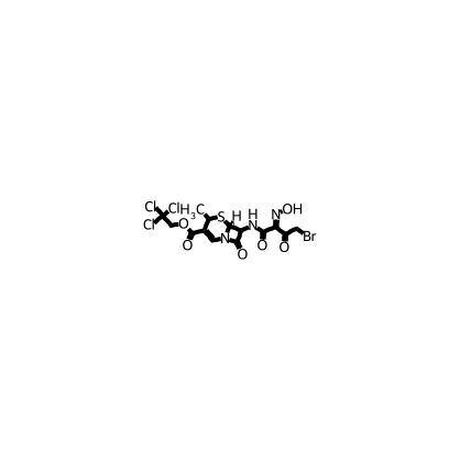 CC1S[C@@H]2C(NC(=O)C(=NO)C(=O)CBr)C(=O)N2C=C1C(=O)OCC(Cl)(Cl)Cl